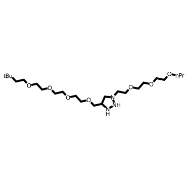 CCCOCCOCCOCCN1CC(COCCOCCOCCOCCC(C)(C)C)NN1